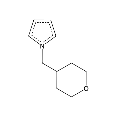 c1ccn(CC2CCOCC2)c1